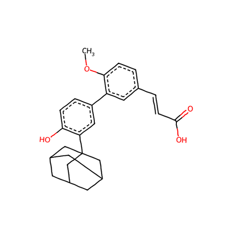 COc1ccc(C=CC(=O)O)cc1-c1ccc(O)c(C23CC4CC(CC(C4)C2)C3)c1